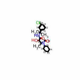 CC(C(O)C(=O)NC(C)(C)c1cccc(Cl)c1)N(C=O)C1CCCCC1